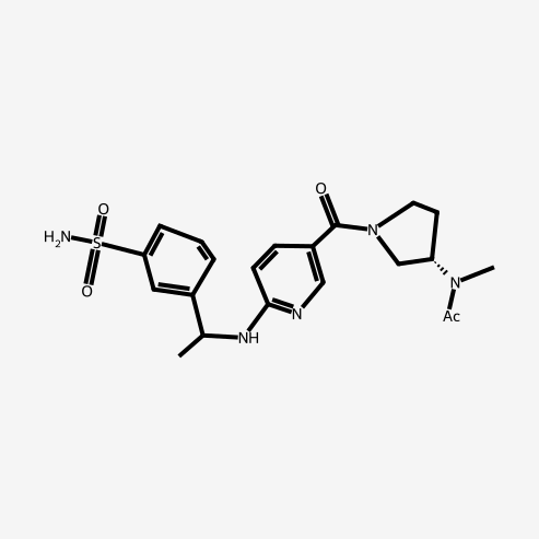 CC(=O)N(C)[C@H]1CCN(C(=O)c2ccc(NC(C)c3cccc(S(N)(=O)=O)c3)nc2)C1